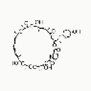 C/C1=C\[C@@H](C)C(=O)C[C@@H]([C@H](C)C[C@H]2CC[C@H](O)CC2)OC(=O)C2CCCN2C(=O)C[C@@](C)(O)[C@H](C)CC[C@H](C)C[C@H](O)/C(C)=C/C=C/C=C/[C@@H](C)C[C@@H](C)C(=O)C[C@@H]1O